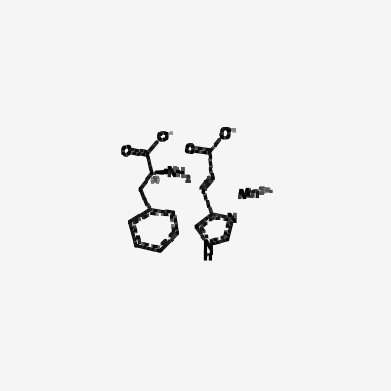 N[C@@H](Cc1ccccc1)C(=O)[O-].O=C([O-])C=Cc1c[nH]cn1.[Mn+2]